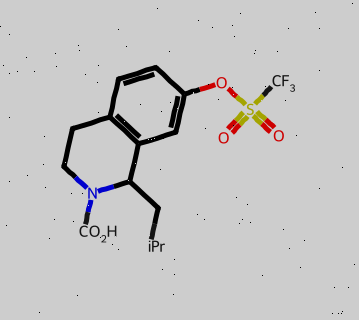 CC(C)CC1c2cc(OS(=O)(=O)C(F)(F)F)ccc2CCN1C(=O)O